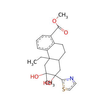 CCC12CC(C)(O)C(O)(c3nccs3)CC1CCc1c(C(=O)OC)cccc12